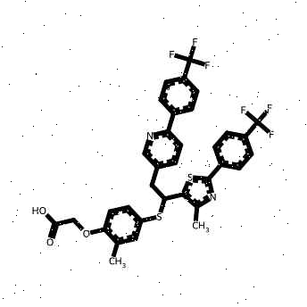 Cc1cc(SC(Cc2ccc(-c3ccc(C(F)(F)F)cc3)nc2)c2sc(-c3ccc(C(F)(F)F)cc3)nc2C)ccc1OCC(=O)O